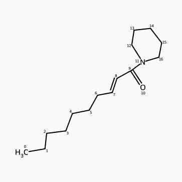 CCCCCCCC=CC(=O)N1CCCCC1